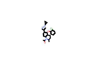 CC(=O)N1c2ccc(-c3cnn(C4CC4)c3)c(Oc3ccccc3Cl)c2CCC1C